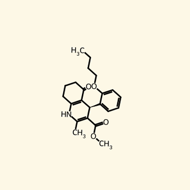 CCCCOc1ccccc1[C@H]1C(C(=O)OC)=C(C)NC2=C1C(=O)CCC2